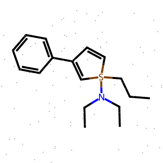 CCCS1(N(CC)CC)C=CC(c2ccccc2)=C1